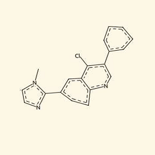 Cn1[c]cnc1-c1ccc2ncc(-c3ccccc3)c(Cl)c2c1